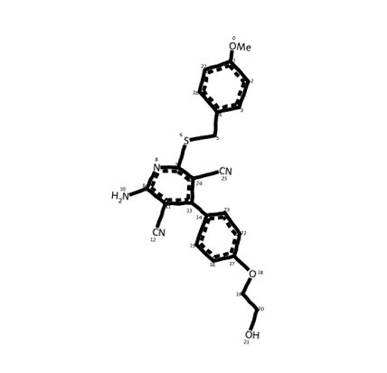 COc1ccc(CSc2nc(N)c(C#N)c(-c3ccc(OCCO)cc3)c2C#N)cc1